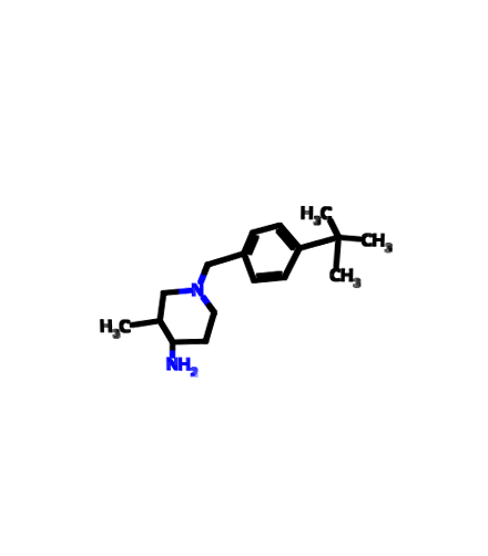 CC1CN(Cc2ccc(C(C)(C)C)cc2)CCC1N